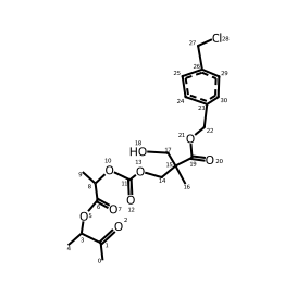 CC(=O)C(C)OC(=O)C(C)OC(=O)OCC(C)(CO)C(=O)OCc1ccc(CCl)cc1